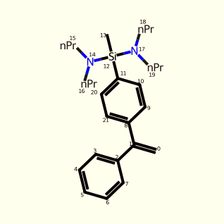 C=C(c1ccccc1)c1ccc([Si](C)(N(CCC)CCC)N(CCC)CCC)cc1